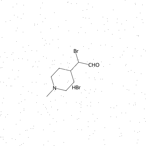 Br.CN1CCC(C(Br)C=O)CC1